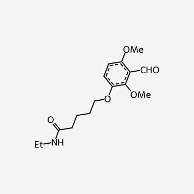 CCNC(=O)CCCCOc1ccc(OC)c(C=O)c1OC